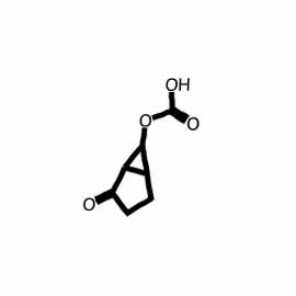 O=C(O)OC1C2CCC(=O)C21